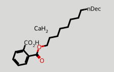 CCCCCCCCCCCCCCCCCCOC(=O)c1ccccc1C(=O)O.[CaH2]